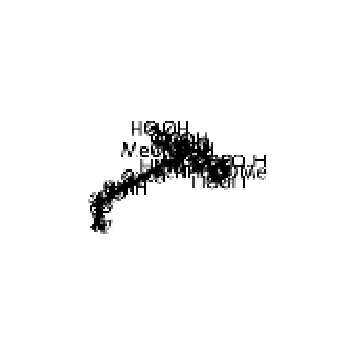 CO[C@@H]1OC(CO)[C@@H](O)[C@H](O[C@@H]2OC(C(=O)ONNC(=O)CCCCC(=O)NNOC(=O)COP(=O)([O-])OCC[N+](C)(C)C)[C@@H](O[C@@H]3OC(CO)[C@@H](O)[C@H](O[C@@H]4OC(C(=O)O)[C@@H](OC)[C@H](O)C4O)C3NC(C)=O)[C@H](O)C2O)C1NC(C)=O